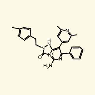 Cc1cc(-c2c(-c3ccccc3)nc(N)[n+]3c(=O)n(CCc4ccc(F)cc4)[nH]c23)cc(C)n1